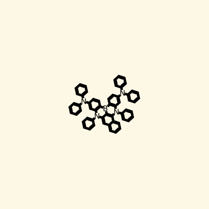 c1ccc(N(c2ccccc2)c2ccc3c(c2)N(c2ccccc2)c2cc4ccccc4c4c2B3c2ccc(N(c3ccccc3)c3ccccc3)cc2N4c2ccccc2)cc1